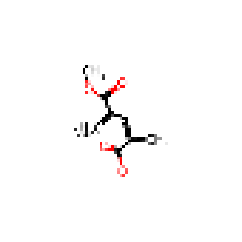 C=C(C=C(C)C(=O)[O-])C(=O)OC.[Na+]